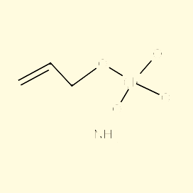 C=CCO[Cl+3]([O-])([O-])[O-].N